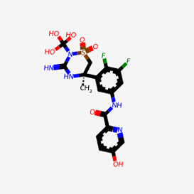 C[C@@]1(c2cc(NC(=O)c3ccc(O)cn3)cc(F)c2F)CS(=O)(=O)N(C(O)(O)O)C(=N)N1